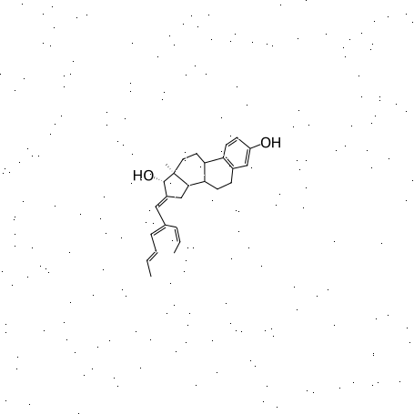 CC=C/C=C(\C=C/C)/C=C1\CC2C3CCc4cc(O)ccc4C3CC[C@]2(C)[C@H]1O